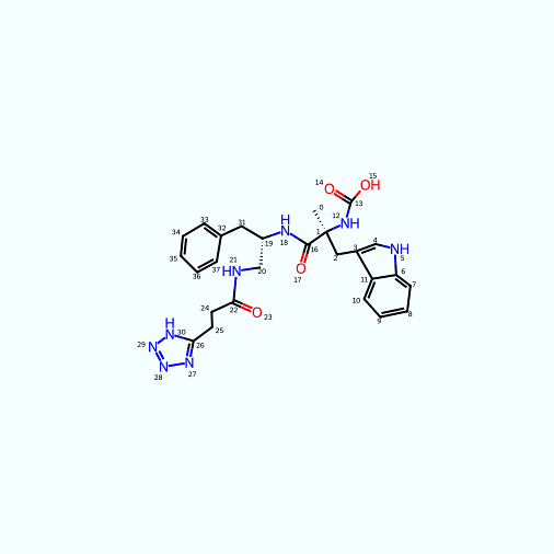 C[C@@](Cc1c[nH]c2ccccc12)(NC(=O)O)C(=O)N[C@H](CNC(=O)CCc1nnn[nH]1)Cc1ccccc1